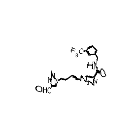 O=Cc1cn(CCCCn2cc(C(=O)NCc3cccc(C(F)(F)F)c3)nn2)nn1